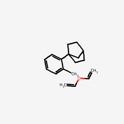 C=COC=C.Cc1ccccc1C12CCC(CC1)C2